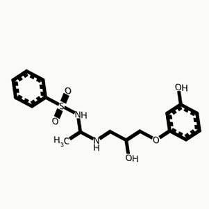 CC(NCC(O)COc1cccc(O)c1)NS(=O)(=O)c1ccccc1